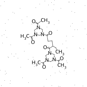 CCC(CCC(=O)N1CN(C(C)=O)CN(C(C)=O)C1)C(=O)N1CN(C(C)=O)CN(C(C)=O)C1